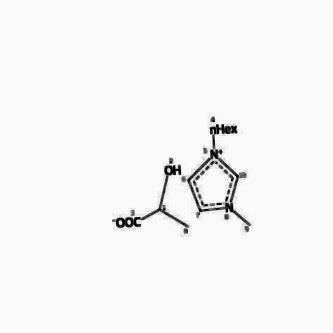 CC(O)C(=O)[O-].CCCCCC[n+]1ccn(C)c1